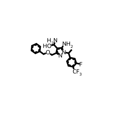 CC(c1ccc(C(F)(F)F)c(F)c1)n1nc(COCc2ccccc2)c(C(N)O)c1N